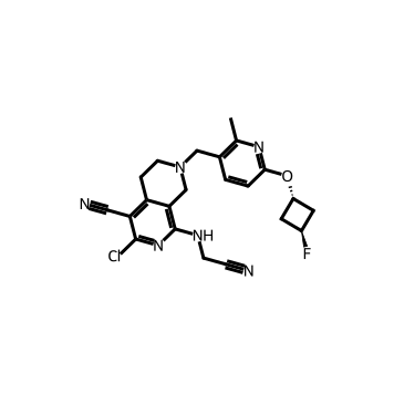 Cc1nc(O[C@H]2C[C@H](F)C2)ccc1CN1CCc2c(C#N)c(Cl)nc(NCC#N)c2C1